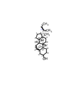 C/C=C(\C)[C@H]1CC[C@H]2[C@@H]3CC=C4CC(O)CC[C@]4(C)[C@H]3CC[C@]12C